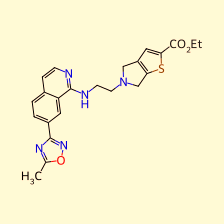 CCOC(=O)c1cc2c(s1)CN(CCNc1nccc3ccc(-c4noc(C)n4)cc13)C2